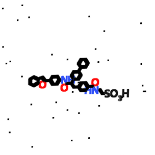 O=C(NCCS(=O)(=O)O)c1ccc(CC(C(=O)Nc2ccc(-c3cc4ccccc4o3)cc2)c2ccc(-c3ccccc3)cc2)cc1